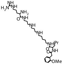 COc1ccccc1CC(=O)NC(CC(C)C)C(=O)NCCCCCNCCCNCCCNC(=O)C(N)CCCNC(=N)N